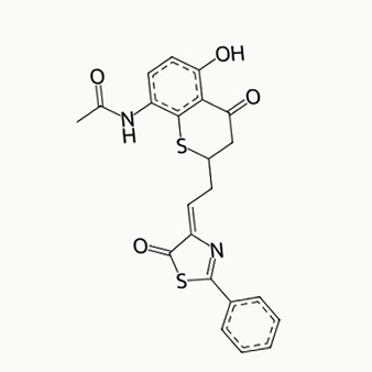 CC(=O)Nc1ccc(O)c2c1SC(CC=C1N=C(c3ccccc3)SC1=O)CC2=O